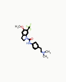 COc1cc2c(cc1C(F)(F)F)N(C(=O)Nc1ccc(CCN(C)C)cc1)CC2